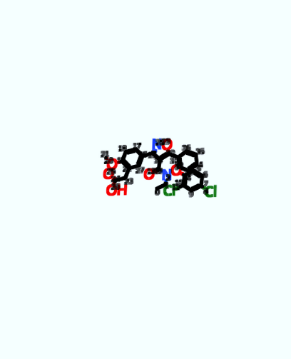 CCN(Oc1ccc(Cl)cc1Cl)C(=O)c1c(-c2ccc(OC)c(CC(=O)O)c2)noc1-c1ccccc1